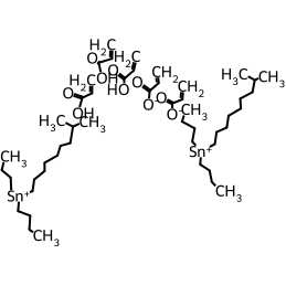 C=CC(=O)O.C=CC(=O)O.C=CC(=O)O.C=CC(=O)[O-].C=CC(=O)[O-].CCC[CH2][Sn+]([CH2]CCC)[CH2]CCCCCCC(C)C.CCC[CH2][Sn+]([CH2]CCC)[CH2]CCCCCCC(C)C